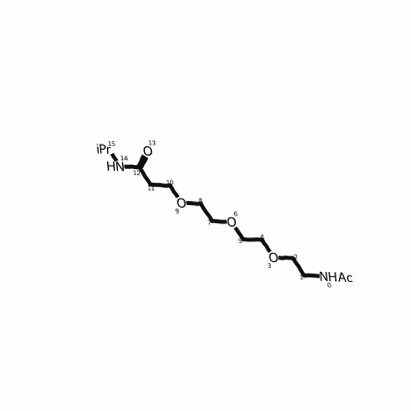 CC(=O)NCCOCCOCCOCCC(=O)NC(C)C